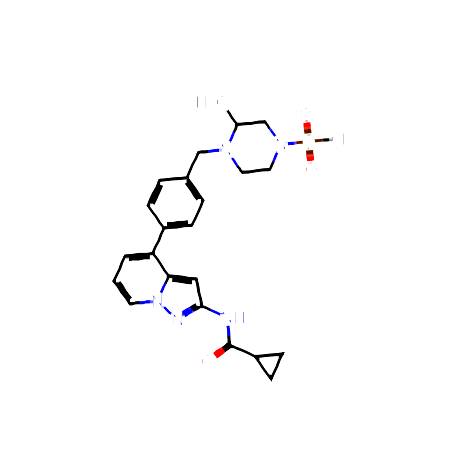 CC1CN(S(C)(=O)=O)CCN1Cc1ccc(-c2cccn3nc(NC(=O)C4CC4)cc23)cc1